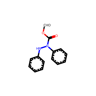 O=COC(=O)N(Nc1ccccc1)c1ccccc1